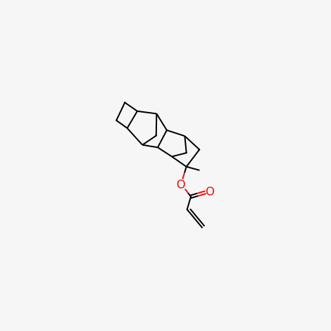 C=CC(=O)OC1(C)CC2CC1C1C3CC(C4CCC43)C21